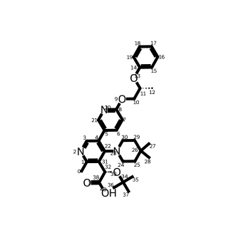 Cc1ncc(-c2ccc(OC[C@@H](C)Oc3ccccc3)nc2)c(N2CCC(C)(C)CC2)c1[C@H](OC(C)(C)C)C(=O)O